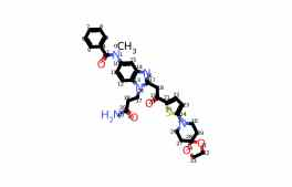 CN(C(=O)c1ccccc1)c1ccc2c(c1)nc(CC(=O)c1ccc(N3CCC4(CC3)OCCO4)s1)n2CCC(N)=O